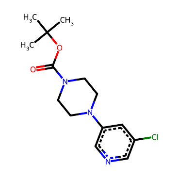 CC(C)(C)OC(=O)N1CCN(c2cncc(Cl)c2)CC1